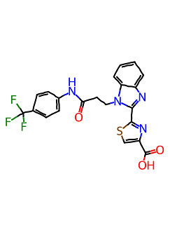 O=C(CCn1c(-c2nc(C(=O)O)cs2)nc2ccccc21)Nc1ccc(C(F)(F)F)cc1